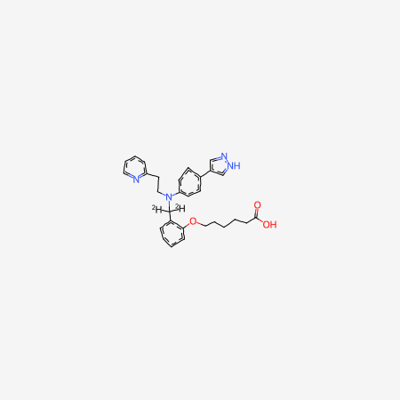 [2H]C([2H])(c1ccccc1OCCCCCC(=O)O)N(CCc1ccccn1)c1ccc(-c2cn[nH]c2)cc1